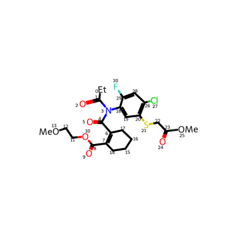 CCC(=O)N(C(=O)C1=C(C(=O)OCCOC)CCCC1)c1cc(SCC(=O)OC)c(Cl)cc1F